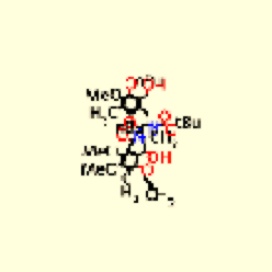 C=CCOc1c(C)c(OC)c(OC)c2c1C(O)CN(C(=O)[C@@H](Cc1cc(C)c(OC)c(OCCCC)c1CO)N(C)C(=O)OC(C)(C)C)[C@H]2OCCCC